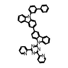 c1ccc(-c2cccc(-n3c4ccccc4c4cc(-c5ccc6c(c5)c5ccccc5n6-c5nc(-c6ccccn6)nc(-c6ccccn6)n5)ccc43)c2)cc1